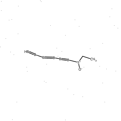 B=BB=BB=B[S+]([O-])CC